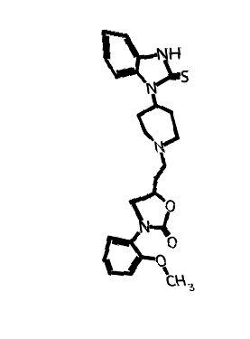 COc1ccccc1N1CC(CCN2CCC(n3c(=S)[nH]c4ccccc43)CC2)OC1=O